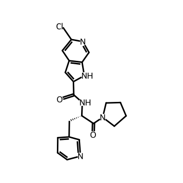 O=C(N[C@@H](Cc1cccnc1)C(=O)N1CCCC1)c1cc2cc(Cl)ncc2[nH]1